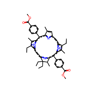 CCc1c(C)c2[nH]c1cc1nc(c(-c3ccc(C(=O)OC)cc3)c3[nH]c(cc4nc(c2-c2ccc(C(=O)OC)cc2)C(C)=C4)c(CC)c3C)C(C)C1(CC)CC